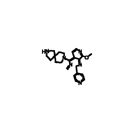 C=N/C(=C1/C=CN=C(OC)/C1=N/Cc1ccncc1)N1CCC2(CCNC2)CC1